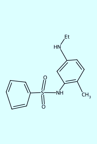 CCNc1ccc(C)c(NS(=O)(=O)c2ccccc2)c1